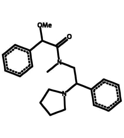 COC(C(=O)N(C)CC(c1ccccc1)N1CCCC1)c1ccccc1